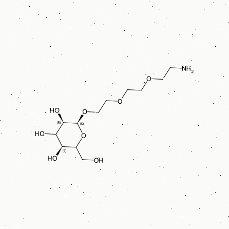 NCCOCCOCCO[C@H]1OC(CO)[C@@H](O)C(O)[C@H]1O